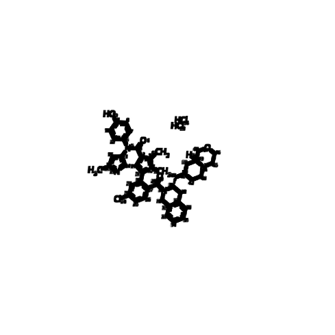 Cc1c(C(=O)N(c2ccc(O)cc2)c2cnn(C)c2)cc(-c2cc(Cl)ccc2C(=O)N2Cc3ccccc3C[C@H]2CN2CCN3CCOC[C@H]3C2)n1C.Cl.Cl